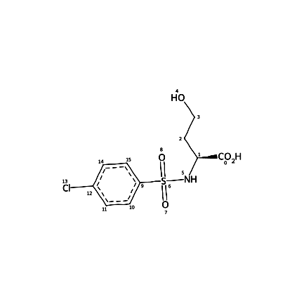 O=C(O)[C@H](CCO)NS(=O)(=O)c1ccc(Cl)cc1